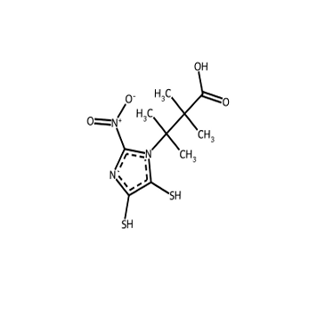 CC(C)(C(=O)O)C(C)(C)n1c([N+](=O)[O-])nc(S)c1S